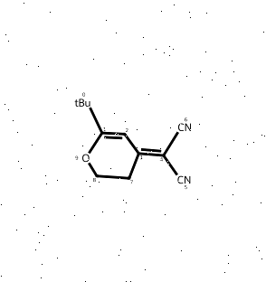 CC(C)(C)C1=CC(=C(C#N)C#N)CCO1